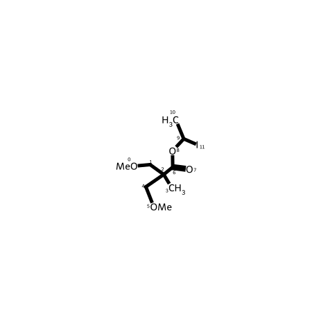 COCC(C)(COC)C(=O)OC(C)I